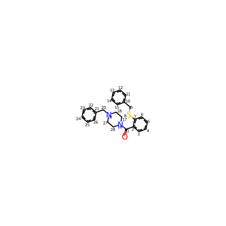 O=C(c1ccccc1SCc1ccccc1)N1CCN(Cc2ccccc2)CC1